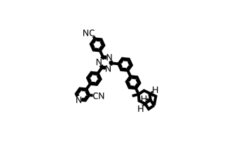 CC1(c2ccc(-c3cccc(-c4nc(-c5ccc(C#N)cc5)nc(-c5ccc(-c6ccncc6C#N)cc5)n4)c3)cc2)C[C@H]2CC3C[C@@H](C1)[C@H]32